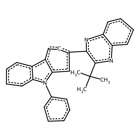 CC(C)(C)c1nc2ccccc2nc1-c1ccc2c3ccccc3n(-c3ccccc3)c2c1